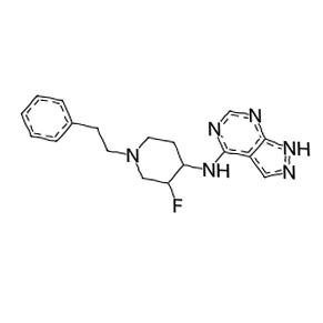 FC1CN(CCc2ccccc2)CCC1Nc1ncnc2[nH]ncc12